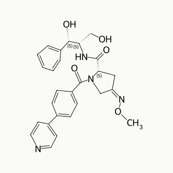 CON=C1C[C@@H](C(=O)N[C@@H](CO)[C@@H](O)c2ccccc2)N(C(=O)c2ccc(-c3ccncc3)cc2)C1